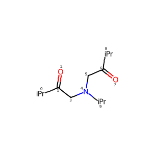 CC(C)C(=O)CN(CC(=O)C(C)C)C(C)C